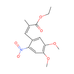 CCOC(=O)C(C)=Cc1cc(OC)c(OC)cc1[N+](=O)[O-]